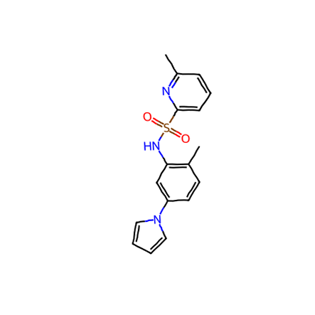 Cc1cccc(S(=O)(=O)Nc2cc(-n3cccc3)ccc2C)n1